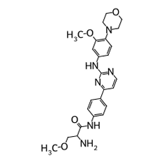 COCC(N)C(=O)Nc1ccc(-c2ccnc(Nc3ccc(N4CCOCC4)c(OC)c3)n2)cc1